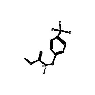 COC(=O)[C@@H](C)Oc1ccc(C(F)(F)F)cc1